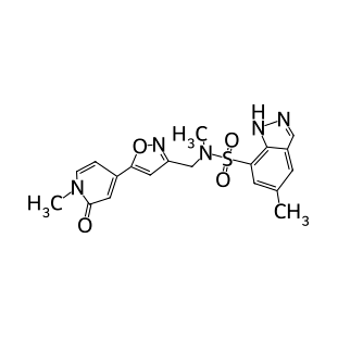 Cc1cc(S(=O)(=O)N(C)Cc2cc(-c3ccn(C)c(=O)c3)on2)c2[nH]ncc2c1